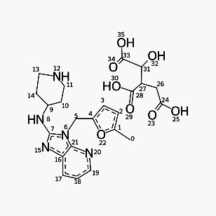 Cc1ccc(Cn2c(NC3CCNCC3)nc3cccnc32)o1.O=C(O)CC(C(=O)O)C(O)C(=O)O